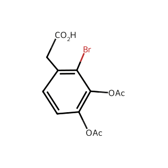 CC(=O)Oc1ccc(CC(=O)O)c(Br)c1OC(C)=O